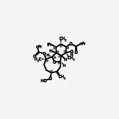 C=C1C[C@H]2O[C@H]([C@@H]3[C@@H](C(C)C)[C@H](C)[C@@H](OC(=O)CCC)[C@@](C)(O)[C@@H]32)[C@](C)(OC(=O)CCC)CC[C@@H]1OO